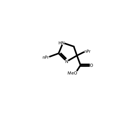 CCCC1=NC(CCC)(C(=O)OC)CN1